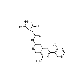 Cc1ccncc1-c1cc2cc(NC(=O)[C@H]3C4C(=O)NC[C@@H]43)ncc2c(N)n1